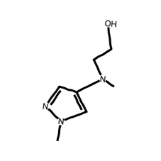 CN(CCO)c1cnn(C)c1